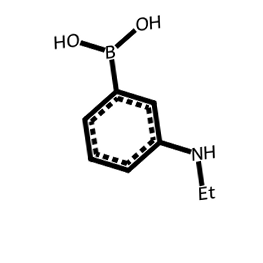 CCNc1cccc(B(O)O)c1